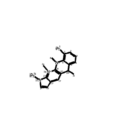 CC(C)c1cccc2c1N(C)c1c(cc3ccn(C(C)C)c3[n+]1C)C2C